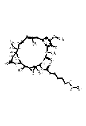 COc1cc2cc(c1Cl)N(C)C(=O)CC(OC(=O)CCCCCSSC)C1(C)OC1C(C)C1CC(O)(NC(=O)O1)C(OC)/C=C/C=C(\C)C2